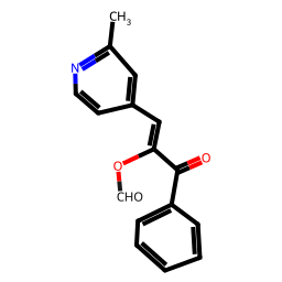 Cc1cc(/C=C(\OC=O)C(=O)c2ccccc2)ccn1